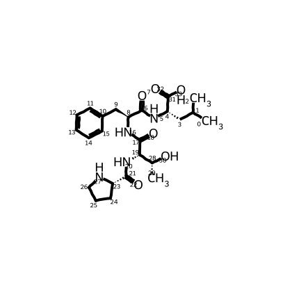 CC(C)C[C@H](NC(=O)[C@H](Cc1ccccc1)NC(=O)[C@@H](NC(=O)[C@@H]1CCCN1)[C@@H](C)O)C(=O)O